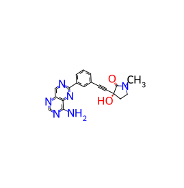 CN1CC[C@](O)(C#Cc2cccc(-c3ncc4ncnc(N)c4n3)c2)C1=O